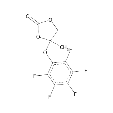 CC1(Oc2c(F)c(F)c(F)c(F)c2F)COC(=O)O1